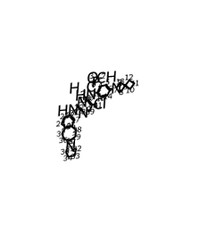 CP(C)(=O)c1cc(N2CC3(CCC3)C2)ccc1Nc1nc(Nc2ccc3c(c2)CC[C@@H](N2CCCC2)CC3)ncc1Cl